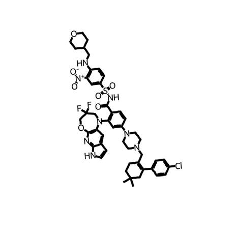 CC1(C)CCC(CN2CCN(c3ccc(C(=O)NS(=O)(=O)c4ccc(NCC5CCOCC5)c([N+](=O)[O-])c4)c(N4CC(F)(F)COc5nc6[nH]ccc6cc54)c3)CC2)=C(c2ccc(Cl)cc2)C1